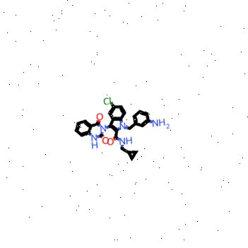 Nc1cccc(Cn2c(C(=O)NCC3CC3)c(-n3c(=O)[nH]c4ccccc4c3=O)c3cc(Cl)ccc32)c1